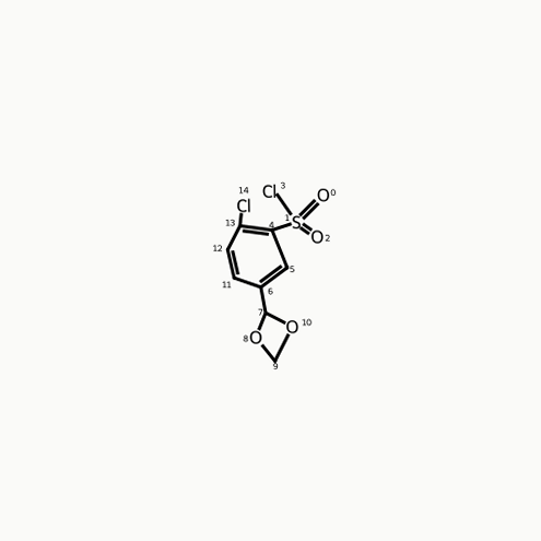 O=S(=O)(Cl)c1cc(C2OCO2)ccc1Cl